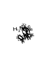 CSc1nc(-c2nn(Cc3ccccc3F)c3ncc(F)cc23)nc(N)c1C